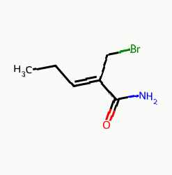 CCC=C(CBr)C(N)=O